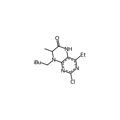 CCc1nc(Cl)nc2c1NC(=O)C(C)N2CC(C)CC